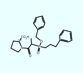 CC(C(=O)N1CCC[C@H]1C(=O)O)P(=O)(CCCc1ccccc1)OCc1ccccc1